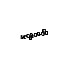 N#Cc1ccc2c(c1)OC[C@@H](C1C=CC(OCc3ccc(Cl)c(Cl)c3)=CC1)O2